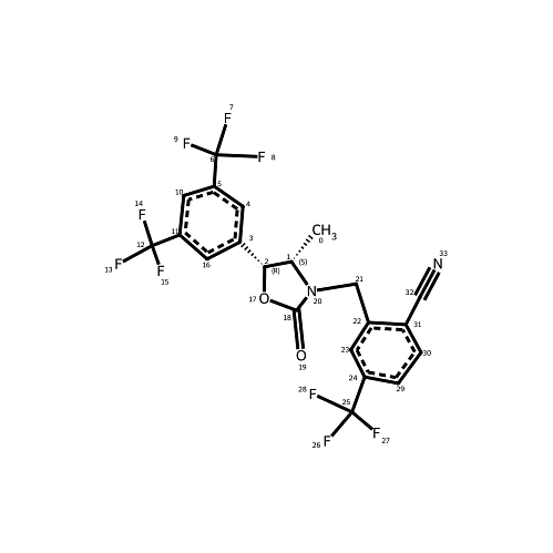 C[C@H]1[C@@H](c2cc(C(F)(F)F)cc(C(F)(F)F)c2)OC(=O)N1Cc1cc(C(F)(F)F)ccc1C#N